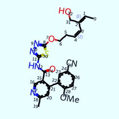 C/C=C(\C=C/CCOc1nnc(NC(=O)c2cnc(C)cc2-c2cc(C#N)ccc2OC)s1)CO